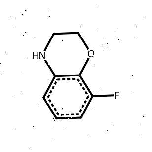 Fc1c[c]cc2c1OCCN2